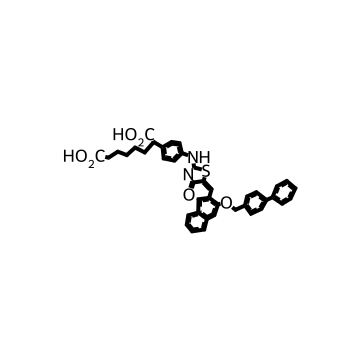 O=C(O)CCCCCC(C(=O)O)c1ccc(NC2=NC(=O)C(=Cc3cc4ccccc4cc3OCc3ccc(-c4ccccc4)cc3)S2)cc1